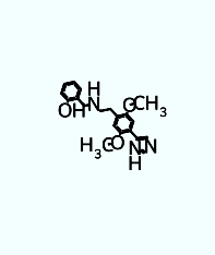 COc1cc(-c2cnc[nH]2)c(OC)cc1CCNCc1ccccc1O